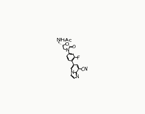 CC(=O)NC[C@H]1CN(c2ccc(-c3cc(C#N)c4nccn4c3)c(F)c2)C(=O)O1